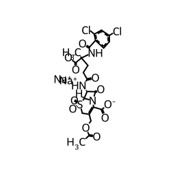 CC(=O)OCC1=C(C(=O)[O-])N2C(=O)[C@@H](NC(=O)CCC(C)(NC(=O)c3ccc(Cl)cc3Cl)C(=O)[O-])[C@H]2S(=O)(=O)C1.[Na+].[Na+]